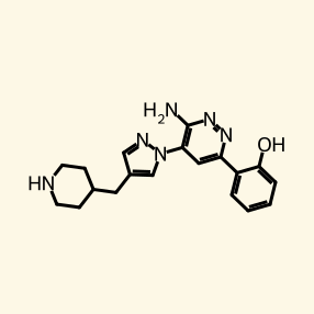 Nc1nnc(-c2ccccc2O)cc1-n1cc(CC2CCNCC2)cn1